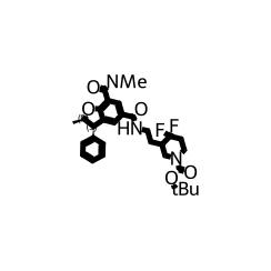 CNC(=O)c1cc(C(=O)NCCC2CN(C(=O)OC(C)(C)C)CCC2(F)F)cc2c1O[C@H](C)[C@H]2c1ccccc1